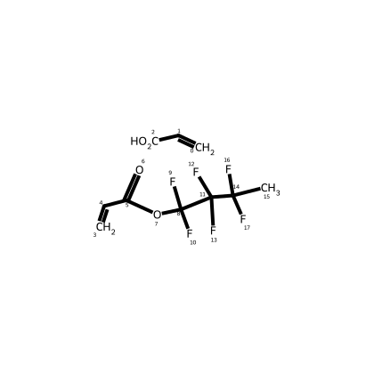 C=CC(=O)O.C=CC(=O)OC(F)(F)C(F)(F)C(C)(F)F